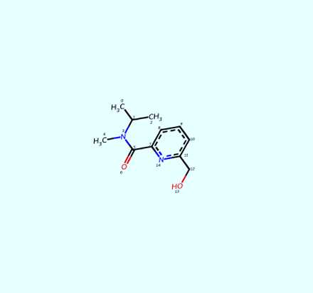 CC(C)N(C)C(=O)c1cccc(CO)n1